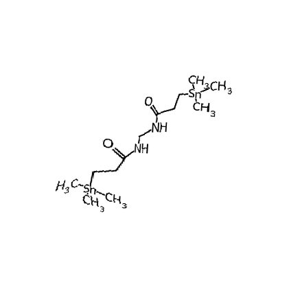 [CH3][Sn]([CH3])([CH3])[CH2]CC(=O)NCNC(=O)C[CH2][Sn]([CH3])([CH3])[CH3]